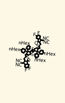 [C-]#[N+]C([N+]#[C-])=C1/C(=C/c2cc3c(s2)-c2sc4c5c(sc4c2C3(c2ccc(CCCCCC)cc2)c2ccc(CCCCCC)cc2)-c2sc(/C=C3\C(=O)c4cc(F)c(F)cc4C3=C(C#N)C#N)cc2C5(c2ccc(CCCCCC)cc2)c2ccc(CCCCCC)cc2)C(=O)c2cc(F)c(F)cc21